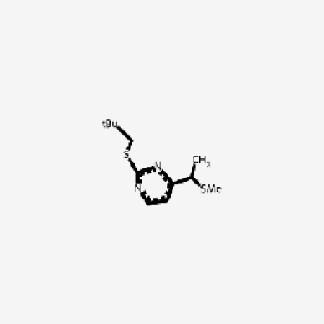 CSC(C)c1ccnc(SCC(C)(C)C)n1